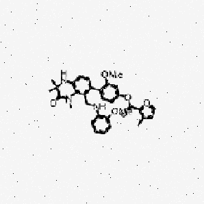 COc1ccccc1NCc1c(-c2ccc(OC(=O)c3occc3C)cc2OC)ccc2c1N(C)C(=O)C(C)(C)N2